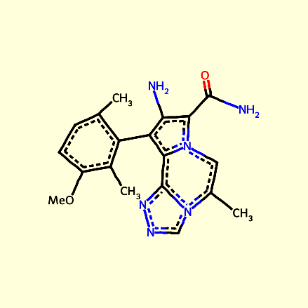 COc1ccc(C)c(-c2c(N)c(C(N)=O)n3cc(C)n4cnnc4c23)c1C